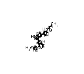 CCCC(=O)Nc1cncc(-c2cnc3[nH]nc(-c4cc5c(-n6cnc(C)c6)nccc5[nH]4)c3c2)c1